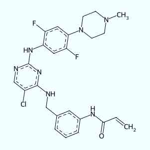 C=CC(=O)Nc1cccc(CNc2nc(Nc3cc(F)c(N4CCN(C)CC4)cc3F)ncc2Cl)c1